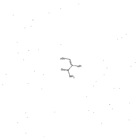 CCCCC=C(CCC)C(N)=O